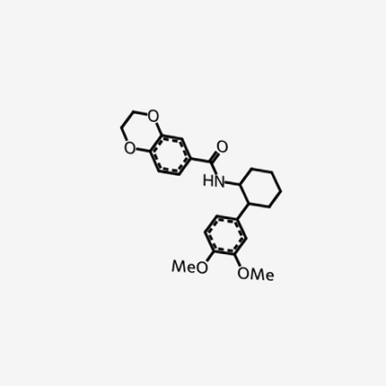 COc1ccc(C2CCCCC2NC(=O)c2ccc3c(c2)OCCO3)cc1OC